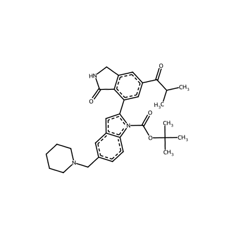 CC(C)C(=O)c1cc2c(c(-c3cc4cc(CN5CCCCC5)ccc4n3C(=O)OC(C)(C)C)c1)C(=O)NC2